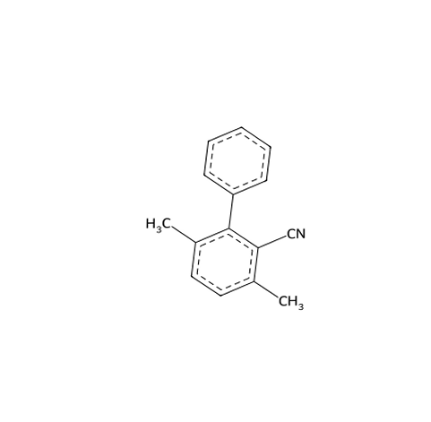 Cc1ccc(C)c(-c2ccccc2)c1C#N